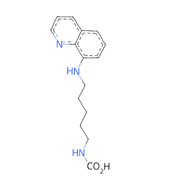 O=C(O)NCCCCCNc1cccc2cccnc12